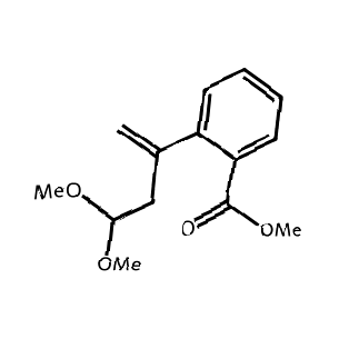 C=C(CC(OC)OC)c1ccccc1C(=O)OC